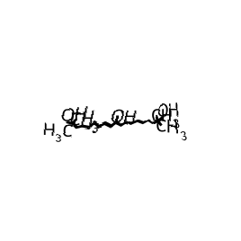 CC(C)(CO)CCCCCCCC(O)CCCCCCCC(C)(C)CO